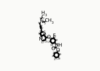 CCN(CC)CC#Cc1cc2nccc(Oc3ccc(NC(=O)Oc4ccccc4)cc3F)c2s1